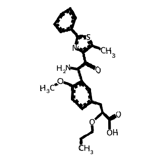 CCCOC(Cc1ccc(OC)c(C(N)C(=O)c2nc(-c3ccccc3)sc2C)c1)C(=O)O